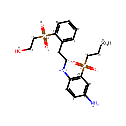 Nc1ccc(NCCc2ccccc2S(=O)(=O)CCO)c(S(=O)(=O)CCS(=O)(=O)O)c1